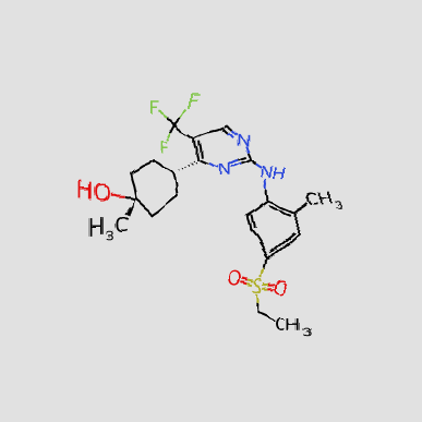 CCS(=O)(=O)c1ccc(Nc2ncc(C(F)(F)F)c([C@H]3CC[C@@](C)(O)CC3)n2)c(C)c1